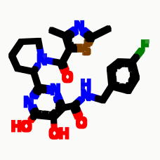 Cc1nc(C)c(C(=O)N2CCCCC2c2nc(O)c(O)c(C(=O)NCc3ccc(F)cc3)n2)s1